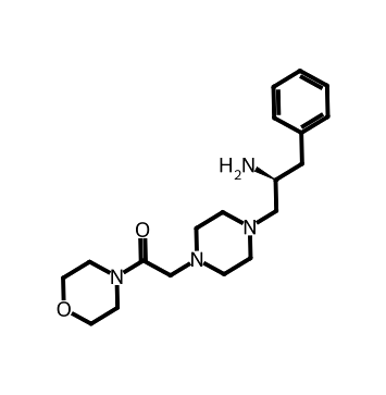 N[C@@H](Cc1ccccc1)CN1CCN(CC(=O)N2CCOCC2)CC1